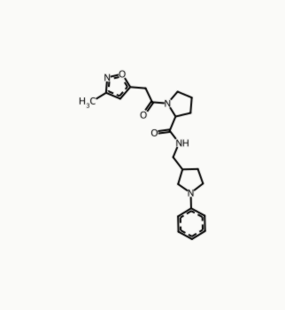 Cc1cc(CC(=O)N2CCCC2C(=O)NCC2CCN(c3ccccc3)C2)on1